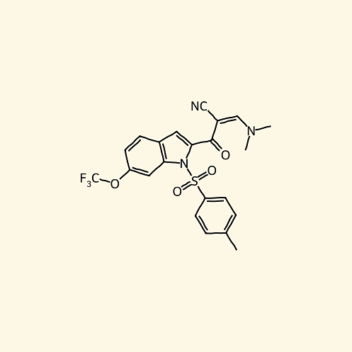 Cc1ccc(S(=O)(=O)n2c(C(=O)/C(C#N)=C\N(C)C)cc3ccc(OC(F)(F)F)cc32)cc1